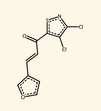 O=C(C=Cc1ccoc1)c1snc(Cl)c1Cl